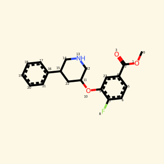 COC(=O)c1ccc(F)c(OC2CNCC(c3ccccc3)C2)c1